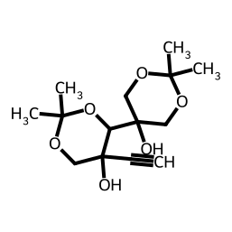 C#CC1(O)COC(C)(C)OC1C1(O)COC(C)(C)OC1